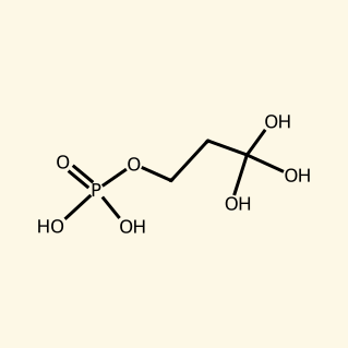 O=P(O)(O)OCCC(O)(O)O